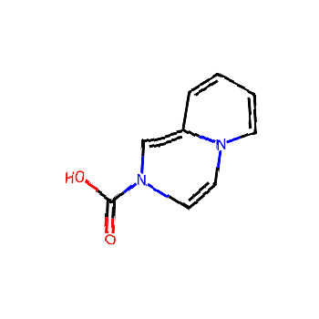 O=C(O)N1C=CN2C=CC=CC2=C1